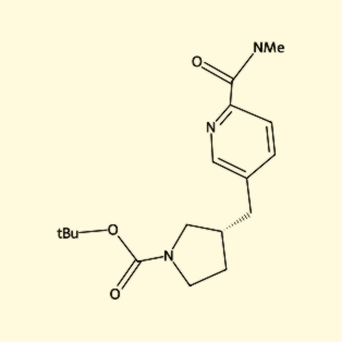 CNC(=O)c1ccc(C[C@@H]2CCN(C(=O)OC(C)(C)C)C2)cn1